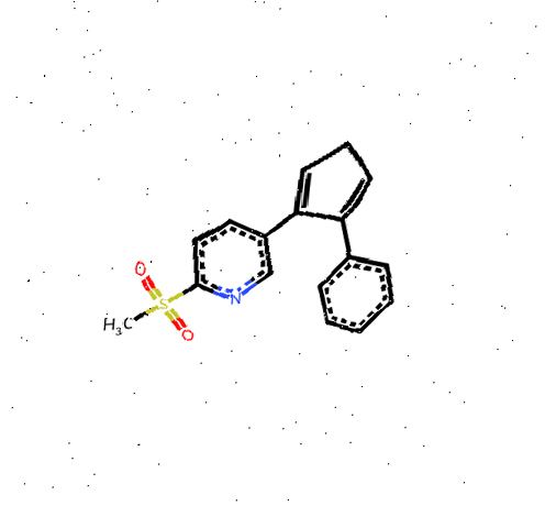 CS(=O)(=O)c1ccc(C2=CCC=C2c2ccccc2)cn1